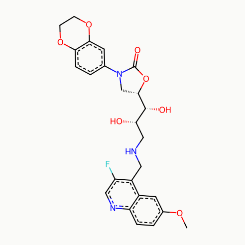 COc1ccc2ncc(F)c(CNC[C@H](O)[C@@H](O)[C@@H]3CN(c4ccc5c(c4)OCCO5)C(=O)O3)c2c1